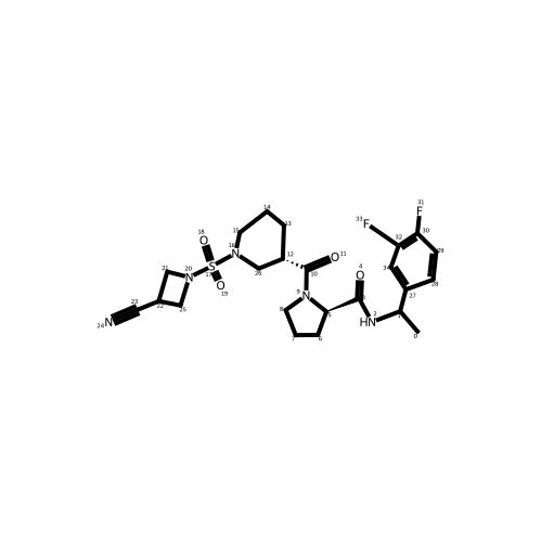 CC(NC(=O)[C@H]1CCCN1C(=O)[C@H]1CCCN(S(=O)(=O)N2CC(C#N)C2)C1)c1ccc(F)c(F)c1